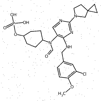 COc1ccc(CNc2nc(N3CCC4(CC4)C3)ncc2N(C=O)C2CCC(OP(=O)(O)O)CC2)cc1Cl